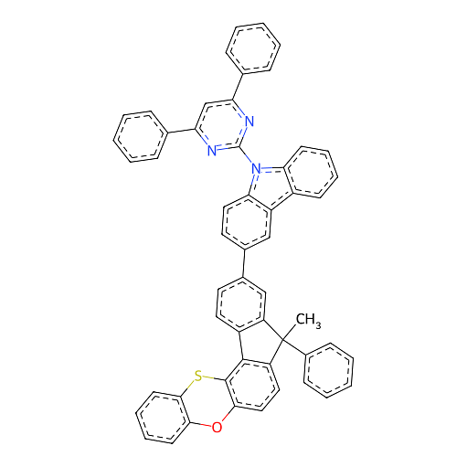 CC1(c2ccccc2)c2cc(-c3ccc4c(c3)c3ccccc3n4-c3nc(-c4ccccc4)cc(-c4ccccc4)n3)ccc2-c2c1ccc1c2Sc2ccccc2O1